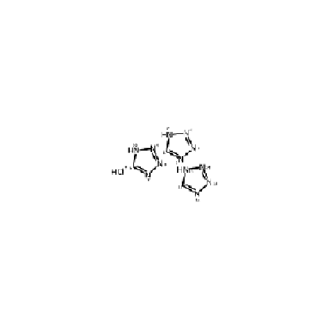 Cl.c1nnn[nH]1.c1nnn[nH]1.c1nnn[nH]1